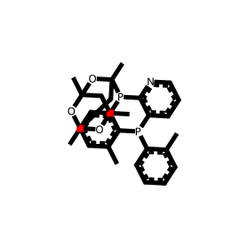 Cc1ccccc1P(c1ccccc1C)c1cccnc1P1C2(C)CC3(C)OC(C)(CC1(C)O3)O2